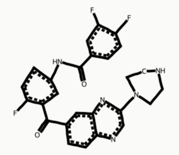 O=C(Nc1ccc(F)c(C(=O)c2ccc3ncc(N4CCNCC4)nc3c2)c1)c1ccc(F)c(F)c1